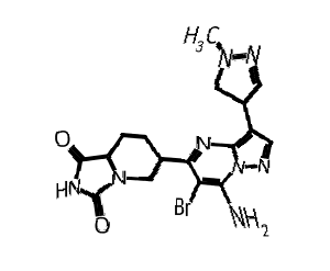 CN1CC(c2cnn3c(N)c(Br)c(C4CCC5C(=O)NC(=O)N5C4)nc23)C=N1